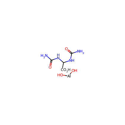 NC(=O)NC(NC(N)=O)C(=O)O.[OH][Al][OH]